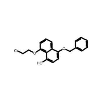 Oc1ccc(OCc2ccccc2)c2cccc(OCCCl)c12